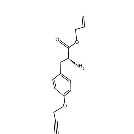 C#CCOc1ccc(C[C@H](N)C(=O)OCC=C)cc1